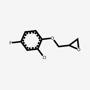 Fc1ccc(OCC2CO2)c(Cl)c1